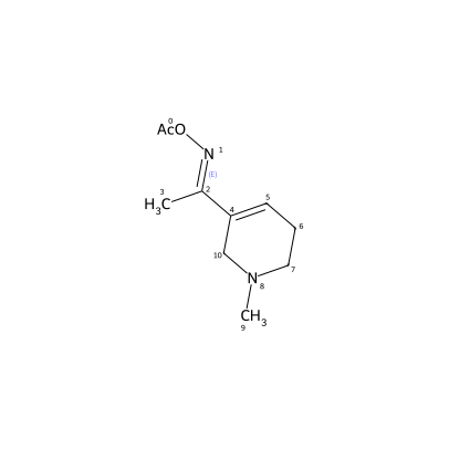 CC(=O)O/N=C(\C)C1=CCCN(C)C1